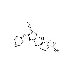 N#Cc1cc(Cl)c(Oc2ccc3c(c2)COB3O)nc1OC1CCOCC1